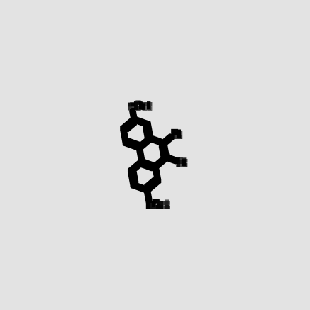 CCCCCCCCc1ccc2c(c1)c(CC)c(CC)c1cc(CCCCCCCC)ccc12